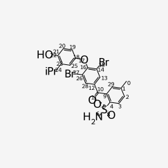 Cc1ccc(S(N)(=O)=O)c(C(=O)c2cc(Br)c(Oc3ccc(O)c(C(C)C)c3)c(Br)c2)c1